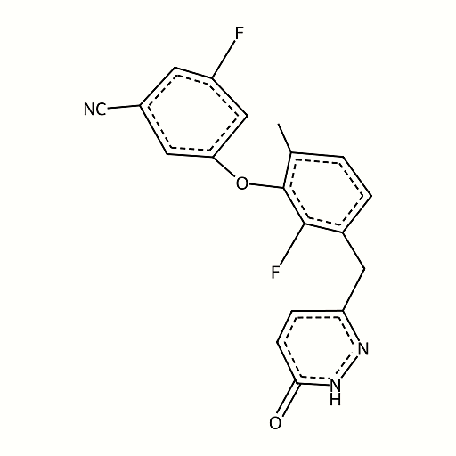 Cc1ccc(Cc2ccc(=O)[nH]n2)c(F)c1Oc1cc(F)cc(C#N)c1